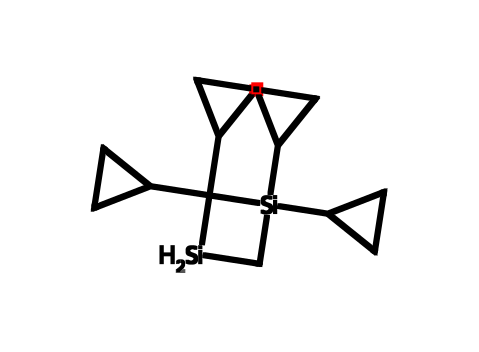 C1CC1C1(C2CC2)[SiH2]C[Si]1(C1CC1)C1CC1